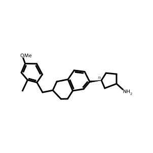 COc1ccc(CC2CCc3cc([C@H]4CCC(N)C4)ccc3C2)c(C)c1